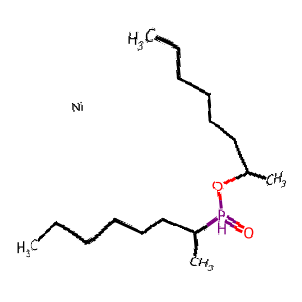 CCCCCCC(C)O[PH](=O)C(C)CCCCCC.[Ni]